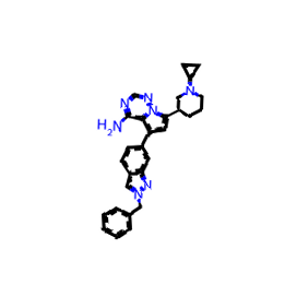 Nc1ncnn2c(C3CCCN(C4CC4)C3)cc(-c3ccc4cn(Cc5ccccc5)nc4c3)c12